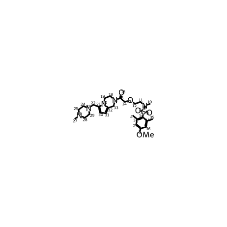 COc1cc(C)c(S(=O)(=O)N(C)CCOCC(=O)N2CCn3c(CN4CCN(C)CC4)ccc3C2)c(C)c1